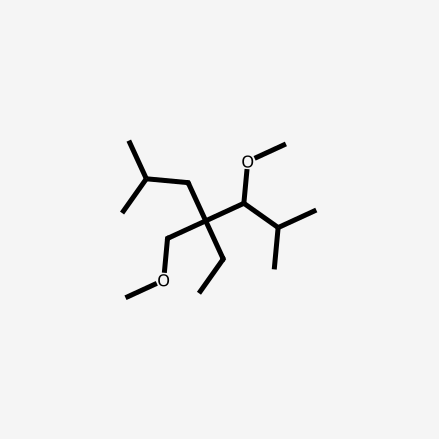 CCC(COC)(CC(C)C)C(OC)C(C)C